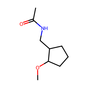 COC1CCCC1CNC(C)=O